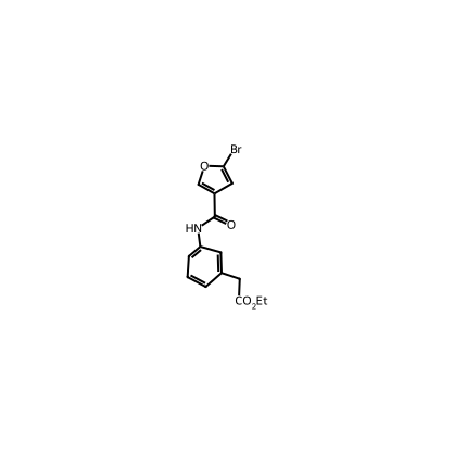 CCOC(=O)Cc1cccc(NC(=O)c2coc(Br)c2)c1